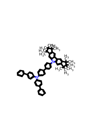 CC1(C)c2cc3c4cc5c(cc4n(-c4ccc(-c6ccc(N(c7ccc(-c8ccccc8)cc7)c7ccc(-c8ccccc8)cc7)cc6)cc4)c3cc2C(C)(C)C1(C)C)C(C)(C)C(C)(C)C5(C)C